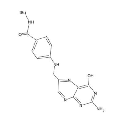 CC(C)(C)NC(=O)c1ccc(NCc2cnc3nc(N)nc(O)c3n2)cc1